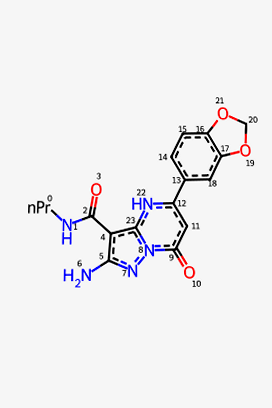 CCCNC(=O)c1c(N)nn2c(=O)cc(-c3ccc4c(c3)OCO4)[nH]c12